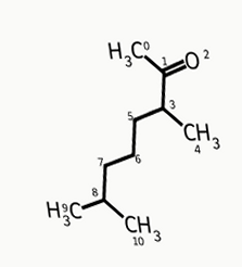 CC(=O)C(C)CCCC(C)C